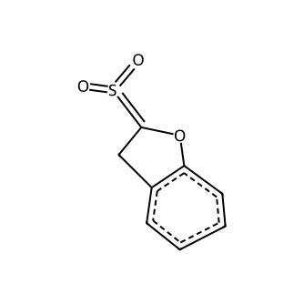 O=S(=O)=C1Cc2ccccc2O1